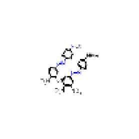 CCNc1ccc(/N=N/c2ccc([N+](=O)[O-])c([N+](=O)[O-])c2)cc1.CNc1ccc(/N=N/c2ccc([N+](=O)[O-])c([N+](=O)[O-])c2)cc1